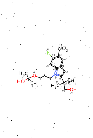 CC(C)(O)OCCCn1c(C(C)(C)CO)cc2cc([N+](=O)[O-])c(F)cc21